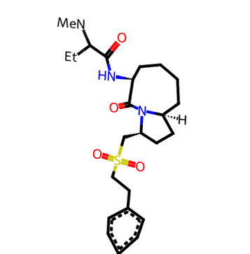 CCC(NC)C(=O)N[C@H]1CCCC[C@H]2CC[C@@H](CS(=O)(=O)CCc3ccccc3)N2C1=O